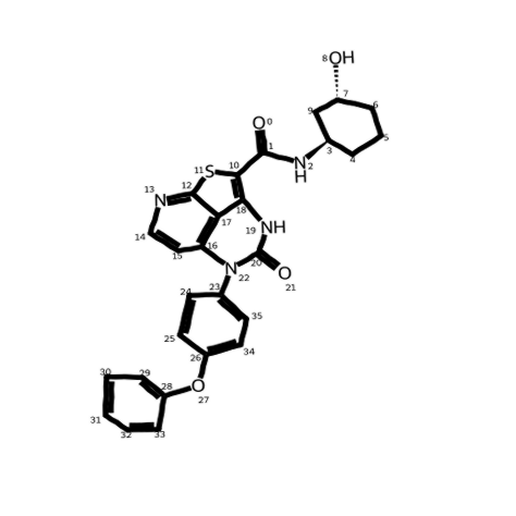 O=C(N[C@@H]1CCC[C@@H](O)C1)c1sc2nccc3c2c1NC(=O)N3c1ccc(Oc2ccccc2)cc1